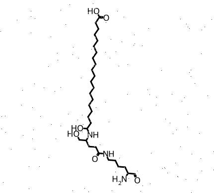 NC(C=O)CCCCNC(=O)CCC(CO)NC(O)CCCCCCCCCCCCCCCCCCC(=O)O